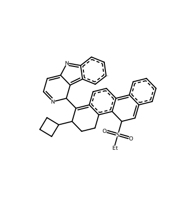 CCS(=O)(=O)C1C=c2ccccc2=c2ccc3c(c21)CCC(C1CCC1)C=3C1N=CC=C2N=c3cc[c]cc3=C21